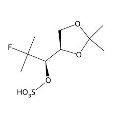 CC1(C)OC[C@H]([C@@H](OS(=O)(=O)O)C(C)(C)F)O1